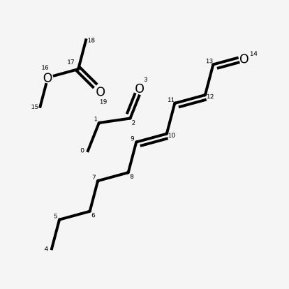 CCC=O.CCCCC/C=C/C=C/C=O.COC(C)=O